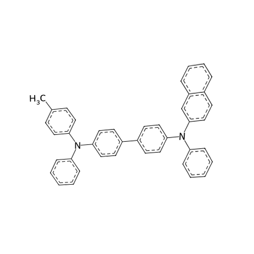 Cc1ccc(N(c2ccccc2)c2ccc(-c3ccc(N(c4ccccc4)c4ccc5ccccc5c4)cc3)cc2)cc1